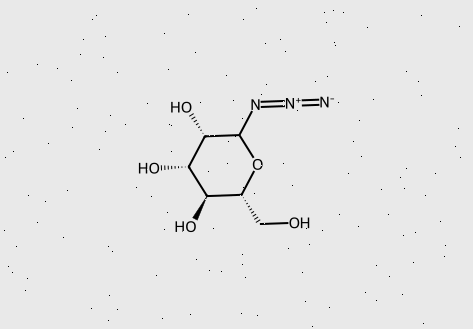 [N-]=[N+]=NC1O[C@H](CO)[C@@H](O)[C@H](O)[C@@H]1O